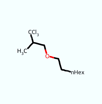 [CH2]CCCCCCCOCC(C)C(Cl)(Cl)Cl